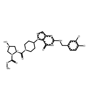 CC(C)(C)OC(=O)N1C[C@@H](O)C[C@H]1C(=O)N1CCC(n2ncc3nc(NCc4ccc(Cl)c(Cl)c4)[nH]c(=O)c32)CC1